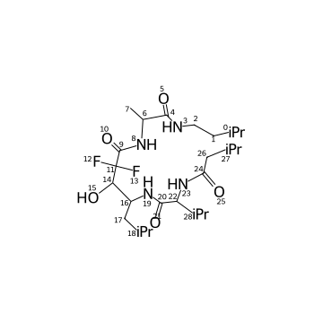 CC(C)CCNC(=O)C(C)NC(=O)C(F)(F)C(O)C(CC(C)C)NC(=O)C(NC(=O)CC(C)C)C(C)C